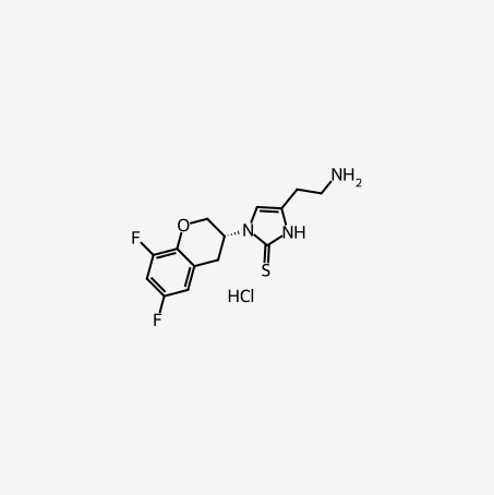 Cl.NCCc1cn([C@H]2COc3c(F)cc(F)cc3C2)c(=S)[nH]1